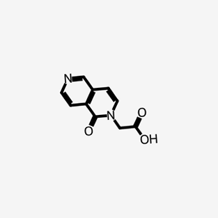 O=C(O)Cn1ccc2cnccc2c1=O